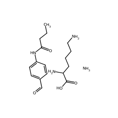 CCCC(=O)Nc1ccc(C=O)cc1.N.NCCCCC(N)C(=O)O